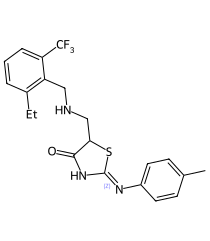 CCc1cccc(C(F)(F)F)c1CNCC1S/C(=N\c2ccc(C)cc2)NC1=O